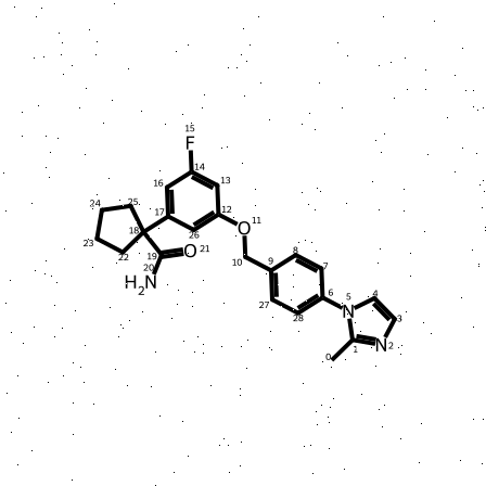 Cc1nccn1-c1ccc(COc2cc(F)cc(C3(C(N)=O)CCCC3)c2)cc1